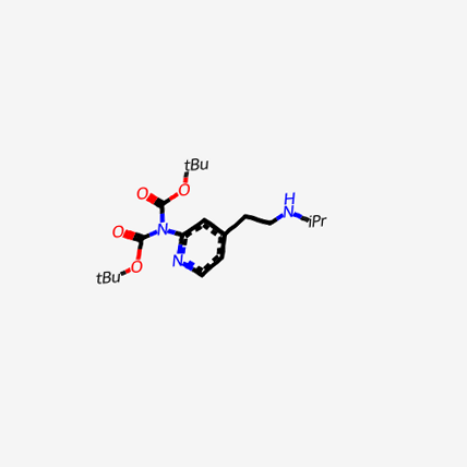 CC(C)NCCc1ccnc(N(C(=O)OC(C)(C)C)C(=O)OC(C)(C)C)c1